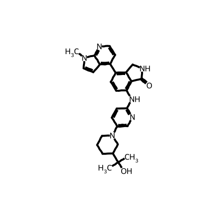 Cn1ccc2c(-c3ccc(Nc4ccc(N5CCCC(C(C)(C)O)C5)cn4)c4c3CNC4=O)ccnc21